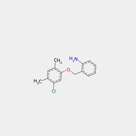 Cc1cc(C)c(OCc2ccccc2N)cc1Cl